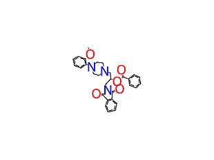 COc1ccccc1N1CCN(CC(CN2C(=O)c3ccccc3C2=O)OC(=O)c2ccccc2)CC1